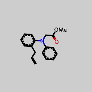 C=CCc1ccccc1N(CC(=O)OC)c1ccccc1